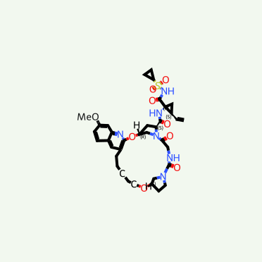 C=C[C@@H]1C[C@]1(NC(=O)[C@@H]1C[C@@H]2CN1C(=O)CNC(=O)N1CC[C@@H](C1)OCCCCCc1cc3ccc(OC)cc3nc1O2)C(=O)NS(=O)(=O)C1CC1